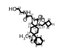 CN(C)C1(c2ccccc2)CCC2(CC1)CN(CC(=O)NCCO)C(=O)N2CC1(O)CCC1